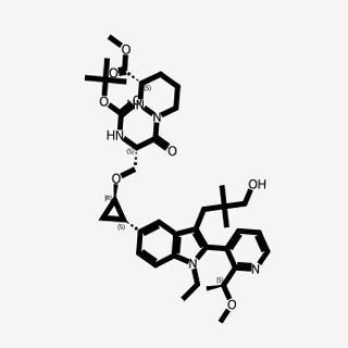 CCn1c(-c2cccnc2[C@H](C)OC)c(CC(C)(C)CO)c2cc([C@@H]3C[C@H]3OC[C@H](NC(=O)OC(C)(C)C)C(=O)N3CCC[C@@H](C(=O)OC)N3)ccc21